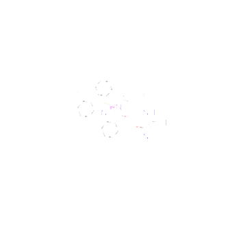 C[C@H](NC[C@@H](O)[C@H](Cc1ccccc1)NC(=O)c1ccccc1N(c1cc(Cl)cc(Cl)c1)S(C)(=O)=O)C(=O)NC1CCCCC1